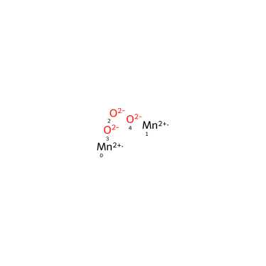 [Mn+2].[Mn+2].[O-2].[O-2].[O-2]